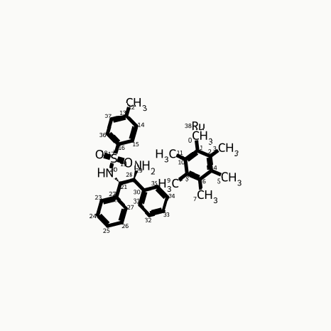 Cc1c(C)c(C)c(C)c(C)c1C.Cc1ccc(S(=O)(=O)N[C@@H](c2ccccc2)[C@@H](N)c2ccccc2)cc1.[Ru]